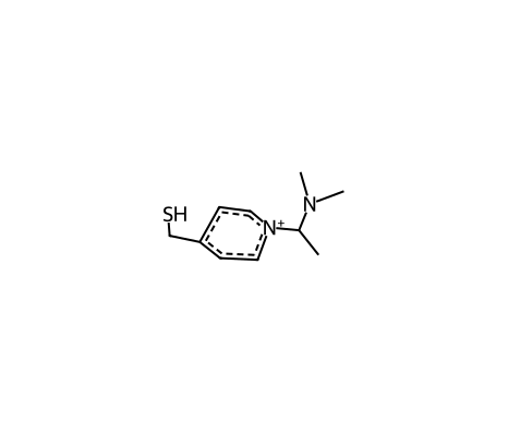 CC(N(C)C)[n+]1ccc(CS)cc1